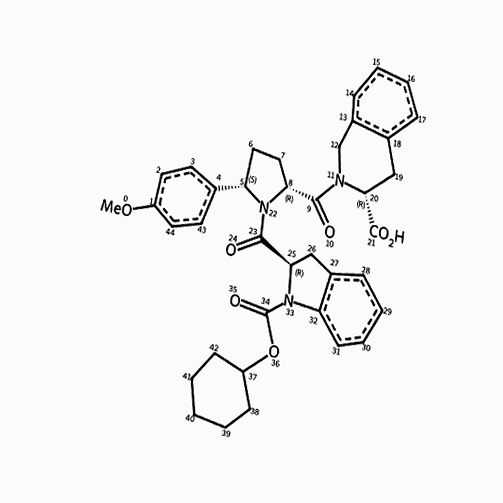 COc1ccc([C@@H]2CC[C@H](C(=O)N3Cc4ccccc4C[C@@H]3C(=O)O)N2C(=O)[C@H]2Cc3ccccc3N2C(=O)OC2CCCCC2)cc1